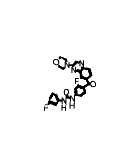 O=C(Nc1cccc(F)c1)Nc1ccc(C(=O)c2ccc3ncc(N4CCOCC4)nc3c2)c(F)c1